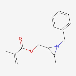 C=C(C)C(=O)OCC1C(C)N1Cc1ccccc1